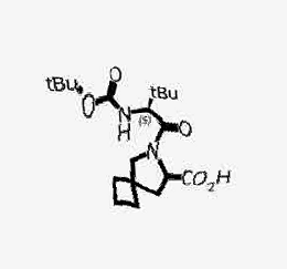 CC(C)(C)OC(=O)N[C@H](C(=O)N1CC2(CCC2)CC1C(=O)O)C(C)(C)C